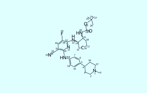 CN1CCC(c2ccc(Nc3nc(N[C@@H]4CCCC[C@@H]4NC(=O)OC(C)(C)C)c(F)cc3C#N)cc2)CC1